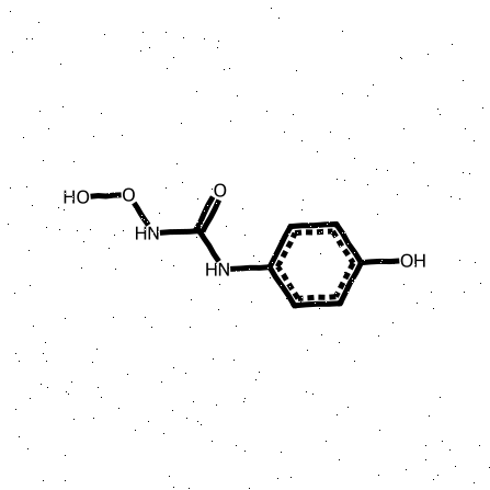 O=C(NOO)Nc1ccc(O)cc1